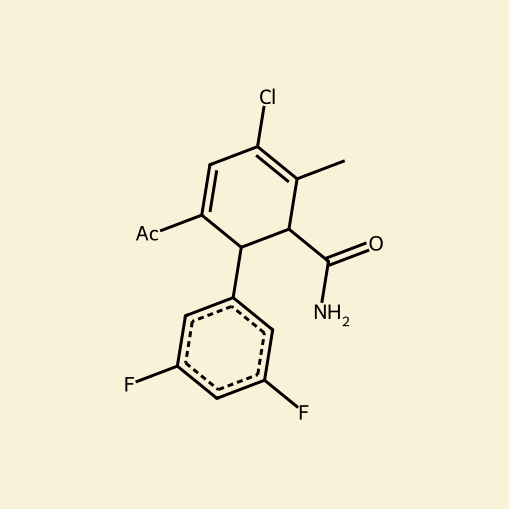 CC(=O)C1=CC(Cl)=C(C)C(C(N)=O)C1c1cc(F)cc(F)c1